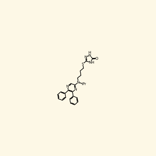 CC(C)N(CCCCSc1n[nH]c(=O)[nH]1)c1cnc(-c2ccccc2)c(-c2ccccc2)n1